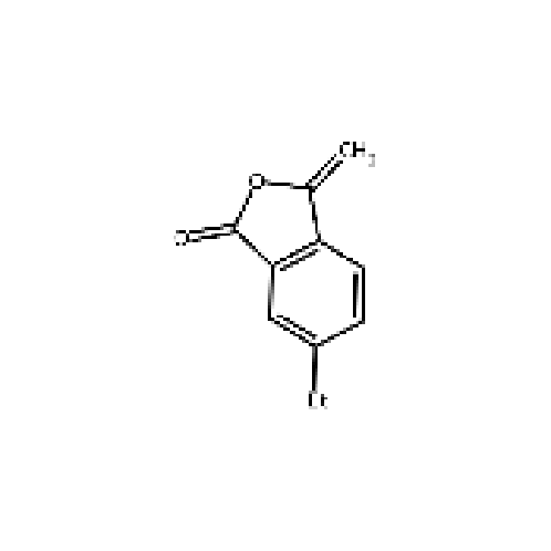 C=C1OC(=O)c2cc(CC)ccc21